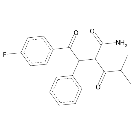 CC(C)C(=O)C(C(N)=O)C(C(=O)c1ccc(F)cc1)c1ccccc1